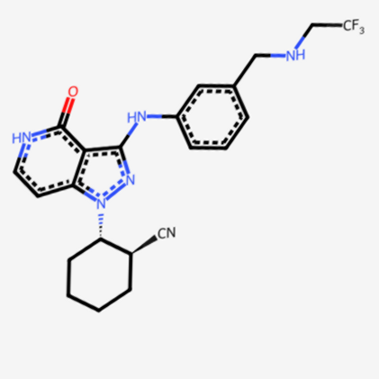 N#C[C@H]1CCCC[C@@H]1n1nc(Nc2cccc(CNCC(F)(F)F)c2)c2c(=O)[nH]ccc21